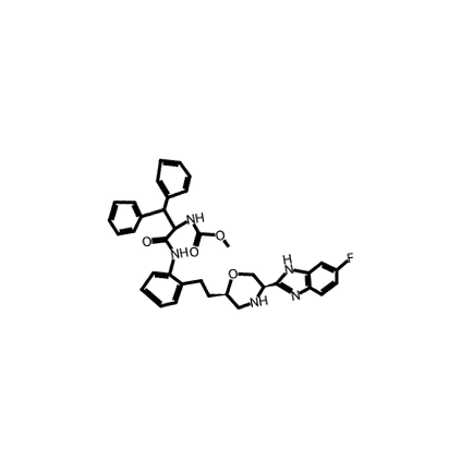 COC(=O)NC(C(=O)Nc1ccccc1CC[C@@H]1CN[C@H](c2nc3ccc(F)cc3[nH]2)CO1)C(c1ccccc1)c1ccccc1